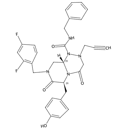 C#CCN1CC(=O)N2[C@@H](Cc3ccc(O)cc3)C(=O)N(Cc3ccc(F)cc3F)C[C@@H]2N1C(=O)NCc1ccccc1